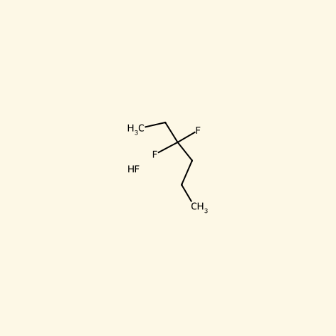 CCCC(F)(F)CC.F